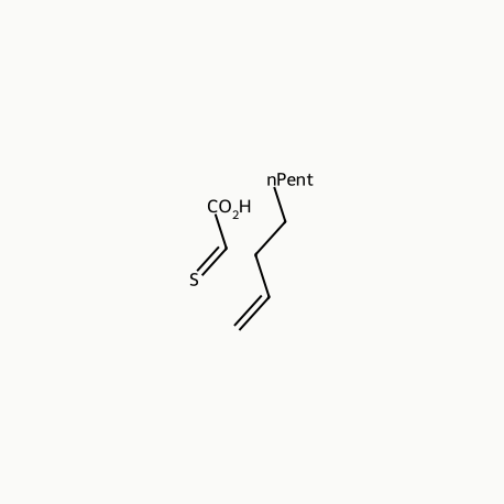 C=CCCCCCCC.O=C(O)C=S